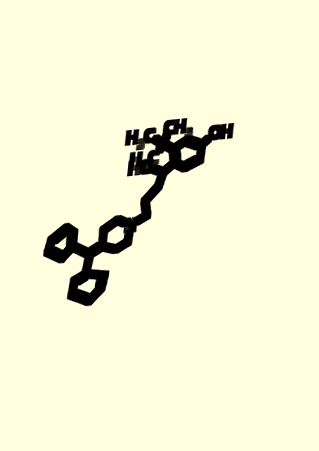 CC(C)(C)c1cc(O)ccc1C(O)CCCN1CCC(=C(c2ccccc2)c2ccccc2)CC1